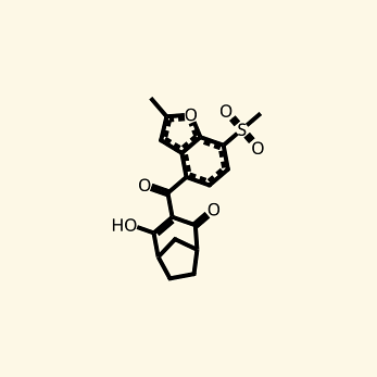 Cc1cc2c(C(=O)C3=C(O)C4CCC(C4)C3=O)ccc(S(C)(=O)=O)c2o1